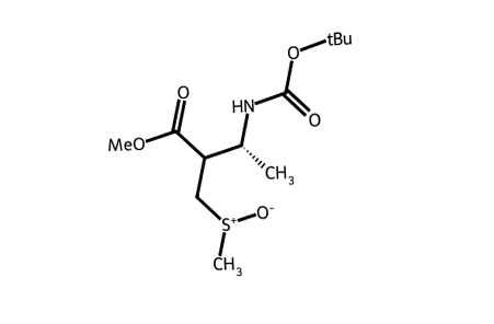 COC(=O)C(C[S+](C)[O-])[C@@H](C)NC(=O)OC(C)(C)C